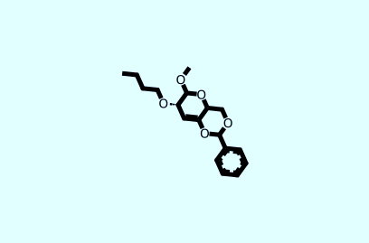 CCCCO[C@H]1C=C2OC(c3ccccc3)OCC2OC1OC